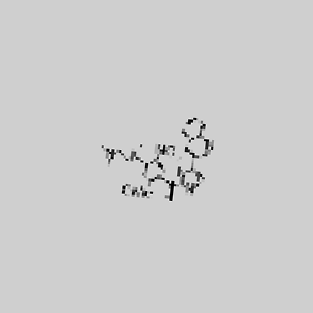 COc1cc(N(C)CCN(C)C)c([N+](=O)[O-])cc1Nc1ncnc(-c2cnc3ccccc3c2)n1